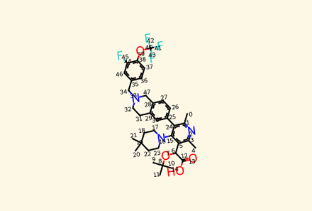 Cc1nc(C)c(C(OC(C)(C)C)C(=O)O)c(N2CCC(C)(C)CC2)c1-c1ccc2c(c1)CCN(Cc1ccc(OC(F)(F)F)c(F)c1)C2